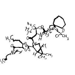 C=CCNC(=O)C(=O)C(CCC)NC(=O)[C@@H]1[C@@H]2[C@H](CN1C(=O)[C@@H](NC(=O)NCC1(N(C)S(C)(=O)=O)CCCCC1)C(C)(C)C)C2(C)C